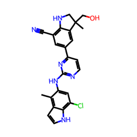 Cc1c(Nc2nccc(-c3cc(C#N)c4c(c3)C(C)(CO)CN4)n2)cc(Cl)c2[nH]ccc12